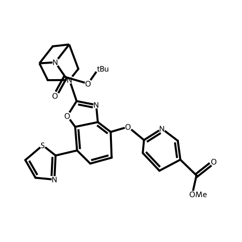 COC(=O)c1ccc(Oc2ccc(-c3nccs3)c3oc(N4CC5CC(C4)N5C(=O)OC(C)(C)C)nc23)nc1